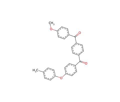 COc1ccc(C(=O)c2ccc(C(=O)c3ccc(Oc4ccc(C)cc4)cc3)cc2)cc1